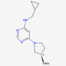 CN[C@@H]1CCN(c2cc(NCC3CC3)ncn2)C1